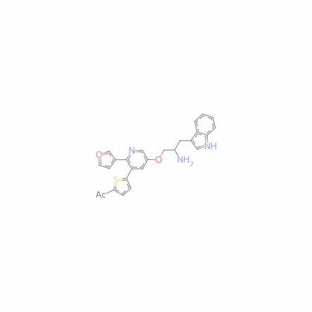 CC(=O)c1ccc(-c2cc(OC[C@H](N)Cc3c[nH]c4ccccc34)cnc2-c2ccoc2)s1